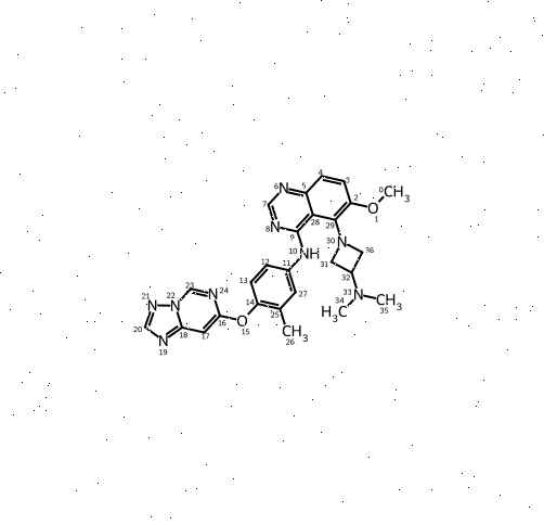 COc1ccc2ncnc(Nc3ccc(Oc4cc5ncnn5cn4)c(C)c3)c2c1N1CC(N(C)C)C1